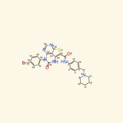 O=C(Nc1ccc(CN2CCCCC2)cc1)c1sc2ncnc3c2c1NC(=O)N3c1ccc(Br)cc1